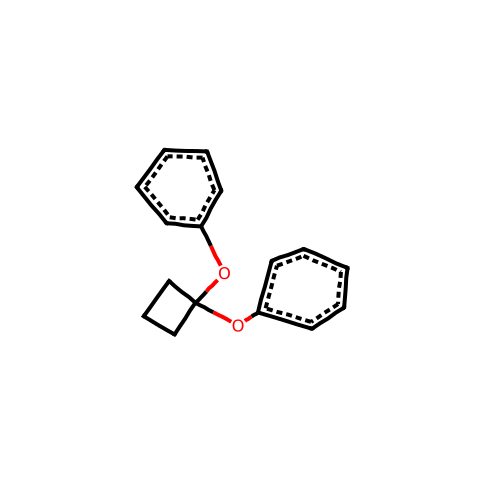 c1ccc(OC2(Oc3ccccc3)CCC2)cc1